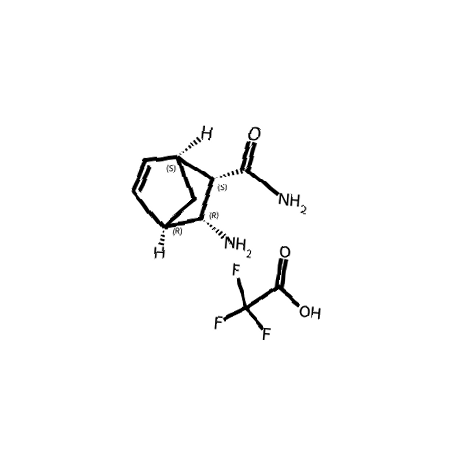 NC(=O)[C@@H]1[C@H](N)[C@H]2C=C[C@@H]1C2.O=C(O)C(F)(F)F